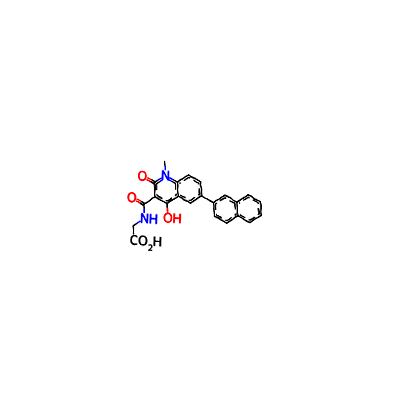 Cn1c(=O)c(C(=O)NCC(=O)O)c(O)c2cc(-c3ccc4ccccc4c3)ccc21